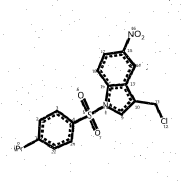 CC(C)c1ccc(S(=O)(=O)n2cc(CCl)c3cc([N+](=O)[O-])ccc32)cc1